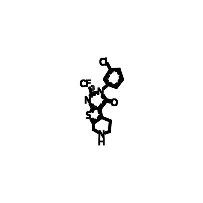 O=c1c2c3c(sc2nc(C(F)(F)F)n1-c1cccc(Cl)c1)CNCC3